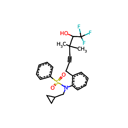 CC(C)(C#CCc1ccccc1N(CC1CC1)S(=O)(=O)c1ccccc1)C(O)C(F)(F)F